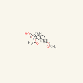 CC(=O)OC1CC[C@@]2(C)C(CC[C@H]3C4=CC[C@H](C(=O)CO)[C@@]4(C)C(OC(C)=O)C[C@@H]32)C1